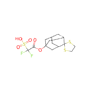 O=C(OC12CC3CC(C1)C1(SCCS1)C(C3)C2)C(F)(F)S(=O)(=O)O